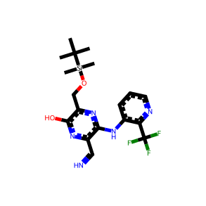 CC(C)(C)[Si](C)(C)OCc1nc(Nc2cccnc2C(F)(F)F)c(C=N)nc1O